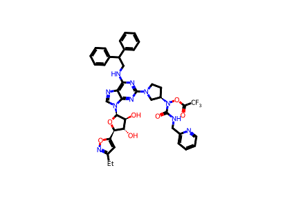 CCc1cc([C@H]2O[C@@H](n3cnc4c(NCC(c5ccccc5)c5ccccc5)nc(N5CC[C@@H](N(OC(=O)C(F)(F)F)C(=O)NCc6ccccn6)C5)nc43)[C@@H](O)[C@@H]2O)on1